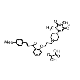 CSc1ccc(C=CC(=O)c2ccccc2OCCCN2CCN(c3cc(=O)n(C)c(=O)n3C)CC2)cc1.O=C(O)C(=O)O